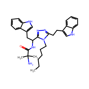 CCCCCCn1c(CCc2c[nH]c3ccccc23)nnc1C(Cc1c[nH]c2ccccc12)NC(=O)C(C)(C)N